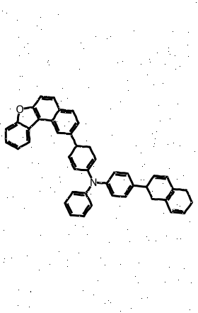 C1=CC2=C(C=CC(c3ccc(N(C4=CCC(c5ccc6ccc7oc8ccccc8c7c6c5)C=C4)c4ccccc4)cc3)C2)CC1